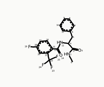 CNC(=O)C(Cc1ccccc1)NC(=O)c1ccc(F)cc1C(F)(F)F